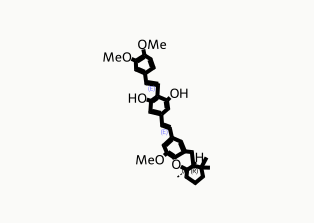 COc1ccc(/C=C/c2c(O)cc(/C=C/c3cc4c(c(OC)c3)O[C@]3(C)CCCC(C)(C)[C@H]3C4)cc2O)cc1OC